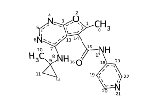 Cc1oc2ncnc(NC3(C)CC3)c2c1C(=O)Nc1ccncc1